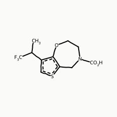 CC(c1csc2c1OCCN(C(=O)O)C2)C(F)(F)F